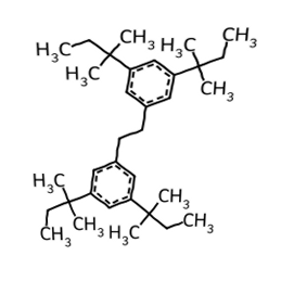 CCC(C)(C)c1cc(CCc2cc(C(C)(C)CC)cc(C(C)(C)CC)c2)cc(C(C)(C)CC)c1